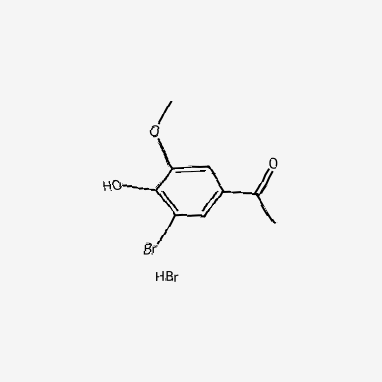 Br.COc1cc(C(C)=O)cc(Br)c1O